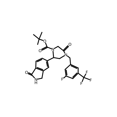 CC(C)(C)OC(=O)N1CC(=O)N(Cc2cc(F)cc(C(F)(F)F)c2)CC1c1ccc2c(c1)CNC2=O